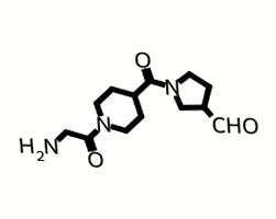 NCC(=O)N1CCC(C(=O)N2CCC(C=O)C2)CC1